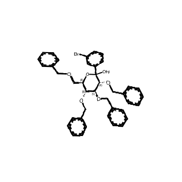 OC1(c2cccc(Br)c2)O[C@H](COCc2ccccc2)[C@@H](OCc2ccccc2)[C@H](OCc2ccccc2)[C@H]1OCc1ccccc1